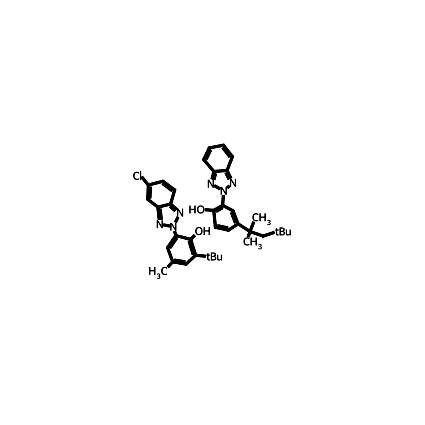 CC(C)(C)CC(C)(C)c1ccc(O)c(-n2nc3ccccc3n2)c1.Cc1cc(-n2nc3ccc(Cl)cc3n2)c(O)c(C(C)(C)C)c1